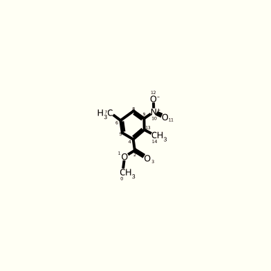 COC(=O)c1cc(C)cc([N+](=O)[O-])c1C